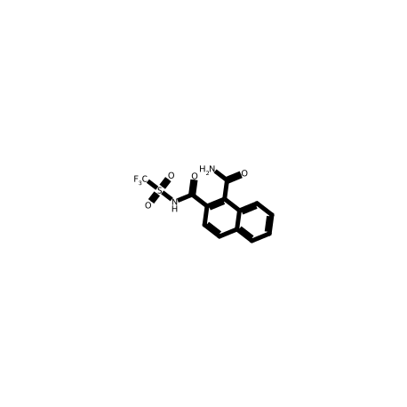 NC(=O)c1c(C(=O)NS(=O)(=O)C(F)(F)F)ccc2ccccc12